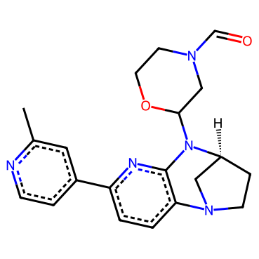 Cc1cc(-c2ccc3c(n2)N(C2CN(C=O)CCO2)[C@H]2CCN3C2)ccn1